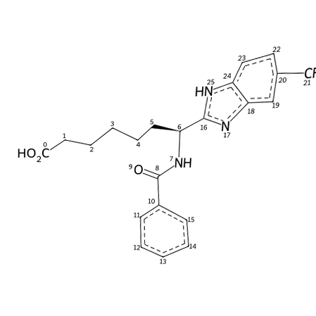 O=C(O)CCCCC[C@H](NC(=O)c1ccccc1)c1nc2cc(C(F)(F)F)ccc2[nH]1